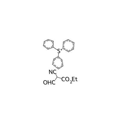 CCOC(=O)C(C#N)C=O.c1ccc([S+](c2ccccc2)c2ccccc2)cc1